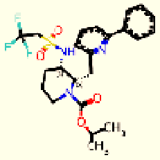 CC(C)OC(=O)N1CCC[C@H](NS(=O)(=O)CC(F)(F)F)[C@@H]1Cc1cccc(-c2ccccc2)n1